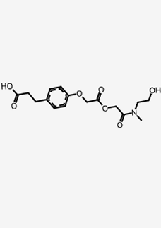 CN(CCO)C(=O)COC(=O)COc1ccc(CCC(=O)O)cc1